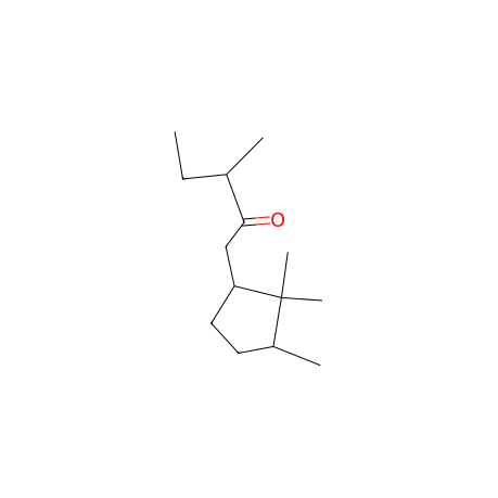 CCC(C)C(=O)CC1CCC(C)C1(C)C